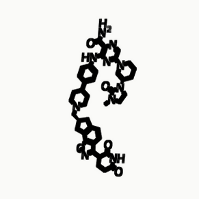 CN1CCN([C@@H]2CCCN(c3cnc(C(N)=O)c(Nc4ccc(C5CCN(C[C@H]6Cc7ccc8c(C9CCC(=O)NC9=O)noc8c7C6)CC5)cc4)n3)C2)C1=O